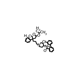 CCC(CCCN1CCC(NC(=O)c2ccccc2-c2cccc(Cl)c2)CC1)(CC(=O)OC(C)C)c1ccccc1